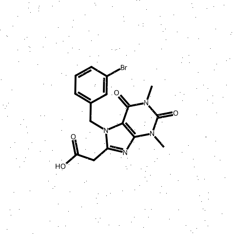 Cn1c(=O)c2c(nc(CC(=O)O)n2Cc2cccc(Br)c2)n(C)c1=O